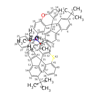 CC(C)(C)c1ccc2c(c1)C1(c3ccccc3Oc3ccc(N(c4ccccc4)c4ccc5c(c4)C4(c6ccccc6S5)c5cc(C(C)(C)C)ccc5-c5ccc(C(C)(C)C)cc54)cc31)c1cc(C(C)(C)C)ccc1-2